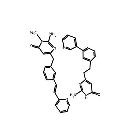 Cn1c(N)nc(Cc2cccc(/C=C/c3ccccn3)c2)cc1=O.Nc1nc(CCc2cccc(-c3cccnc3)c2)cc(=O)[nH]1